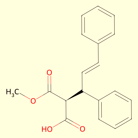 COC(=O)[C@H](C(=O)O)C(C=Cc1ccccc1)c1ccccc1